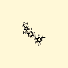 CCc1cc(OC)c(F)c(COc2cnc(Nc3cc(CO)n[nH]3)nc2)c1F